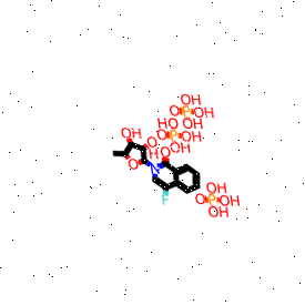 CC1OC(n2cc(F)c3ccccc3c2=O)C(O)C1O.O=P(O)(O)O.O=P(O)(O)O.O=P(O)(O)O